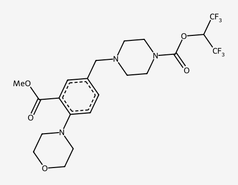 COC(=O)c1cc(CN2CCN(C(=O)OC(C(F)(F)F)C(F)(F)F)CC2)ccc1N1CCOCC1